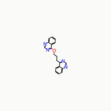 c1ccc2c(CCCOc3ncnc4ccccc34)ncnc2c1